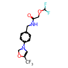 O=C(COC(F)F)NCc1ccc(N2C=C(C(F)(F)F)OC2)cc1